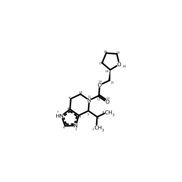 CC(C)C1c2nc[nH]c2CCN1C(=O)OC[C@H]1CCCO1